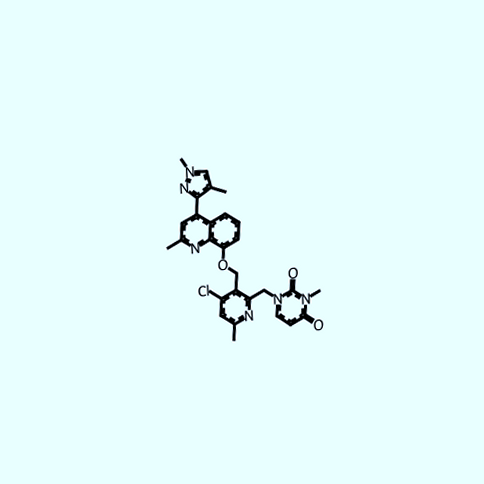 Cc1cc(Cl)c(COc2cccc3c(-c4nn(C)cc4C)cc(C)nc23)c(Cn2ccc(=O)n(C)c2=O)n1